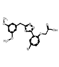 COc1cc(Cc2noc(-c3cc(Br)ccc3OCC(=O)O)n2)cc(OC)c1